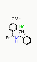 CC[C@@H](N[C@H](C)c1ccccc1)c1ccc(OC)cc1.Cl